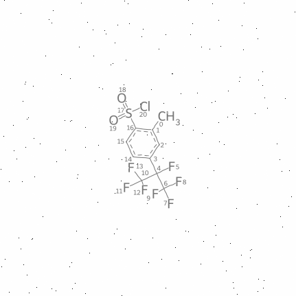 Cc1cc(C(F)(C(F)(F)F)C(F)(F)F)ccc1S(=O)(=O)Cl